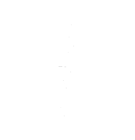 OCCCCCCC(O)C(O)CCCCCCO